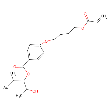 C=CC(=O)OCCCCOc1ccc(C(=O)OC(C(C)O)C(C)C(C)=O)cc1